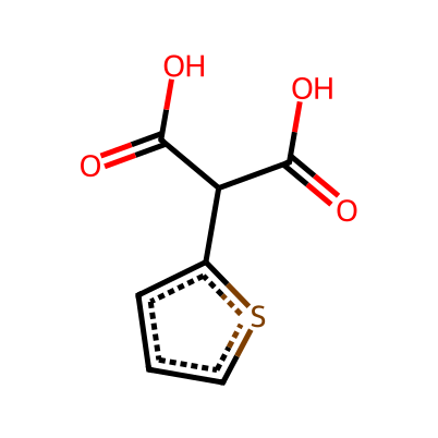 O=C(O)C(C(=O)O)c1cccs1